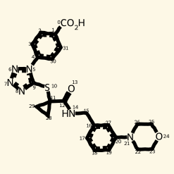 O=C(O)c1ccc(-n2nnnc2SC2(C(=O)NCc3cccc(N4CCOCC4)c3)CC2)cc1